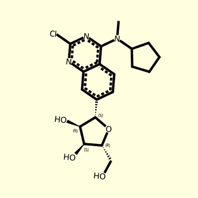 CN(c1nc(Cl)nc2cc([C@@H]3O[C@H](CO)[C@@H](O)[C@H]3O)ccc12)C1CCCC1